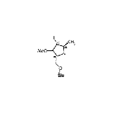 COC1[C@@H](COC(C)(C)C)S[C@H](C)[C@H]1I